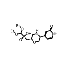 CCOC(OCC)P(=O)(O)C[C@H]1CN[C@@H](c2cc[nH]c(=O)c2)CO1